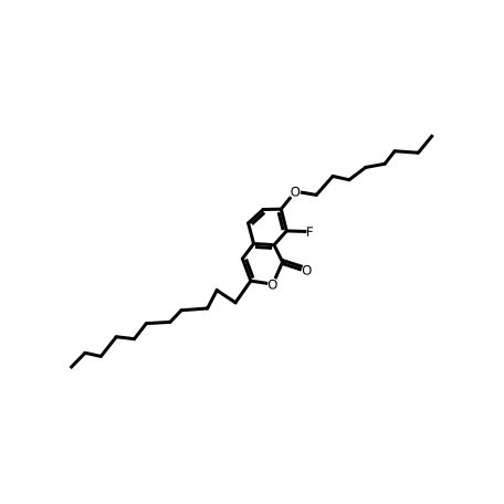 CCCCCCCCCCCc1cc2ccc(OCCCCCCCC)c(F)c2c(=O)o1